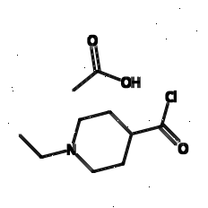 CC(=O)O.CCN1CCC(C(=O)Cl)CC1